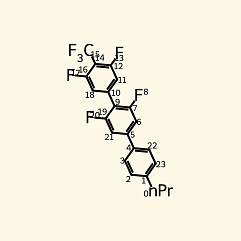 CCCc1ccc(-c2cc(F)c(-c3cc(F)c(C(F)(F)F)c(F)c3)c(F)c2)cc1